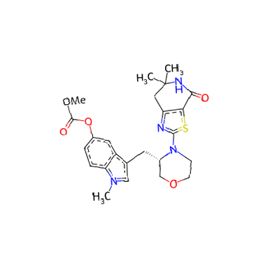 COC(=O)Oc1ccc2c(c1)c(C[C@H]1COCCN1c1nc3c(s1)C(=O)NC(C)(C)C3)cn2C